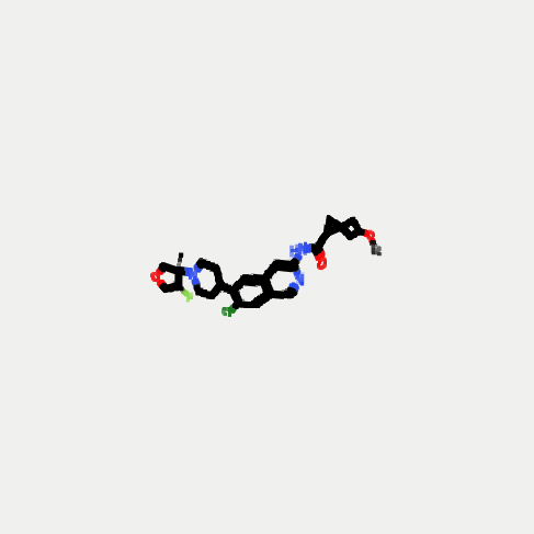 CCOC1CC2(C1)CC2C(=O)Nc1cc2cc(C3CCN([C@]4(C)COC[C@@H]4F)CC3)c(Cl)cc2cn1